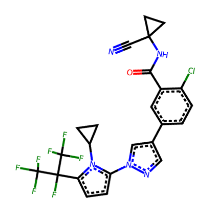 N#CC1(NC(=O)c2cc(-c3cnn(-c4ccc(C(F)(C(F)(F)F)C(F)(F)F)n4C4CC4)c3)ccc2Cl)CC1